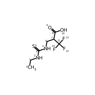 CCNC(=S)NCC(C(=O)O)C(F)(F)F